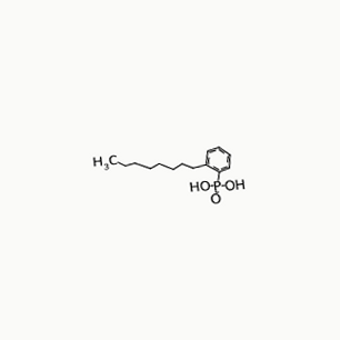 CCCCCCCCc1ccccc1P(=O)(O)O